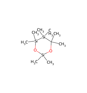 CC1(C)O[Si](C)(C)O[Si](C)(C)[Si]1(C)C